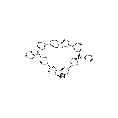 c1ccc(-c2cccc(N(c3ccccc3)c3ccc(-c4ccc5[nH]c6ccc(-c7ccc(N(c8ccccc8)c8cccc(-c9ccccc9)c8)cc7)cc6c5c4)cc3)c2)cc1